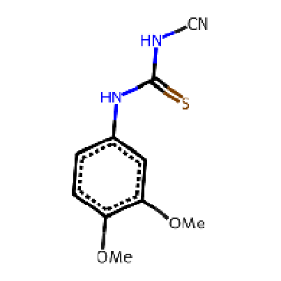 COc1ccc(NC(=S)NC#N)cc1OC